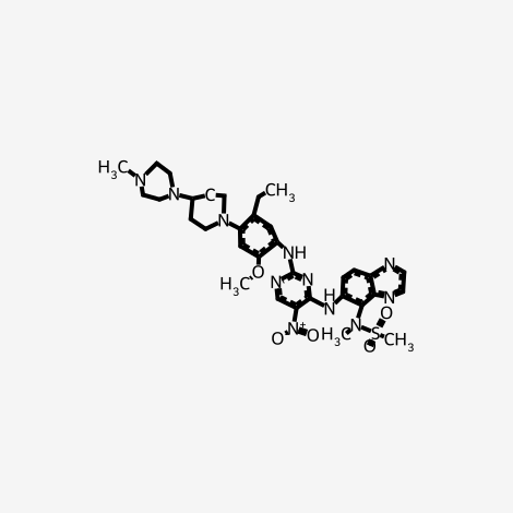 CCc1cc(Nc2ncc([N+](=O)[O-])c(Nc3ccc4nccnc4c3N(C)S(C)(=O)=O)n2)c(OC)cc1N1CCC(N2CCN(C)CC2)CC1